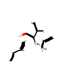 C=C(C)C(=O)OC.C=CC#N.C=CC=C